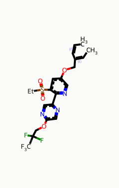 C/C=C\C(=C/C)COc1cnc(-c2cnc(OCC(F)(F)C(F)(F)F)cn2)c(S(=O)(=O)CC)c1